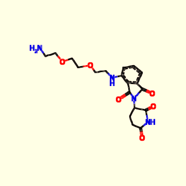 NCCOCCOCCNc1cccc2c1C(=O)N(C1CCC(=O)NC1=O)C2=O